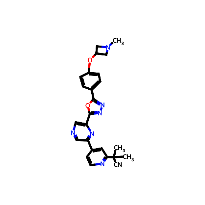 CN1CC(Oc2ccc(-c3nnc(-c4cncc(-c5ccnc(C(C)(C)C#N)c5)n4)o3)cc2)C1